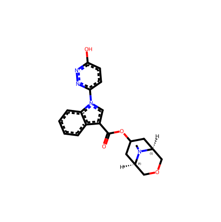 CN1[C@@H]2COC[C@H]1CC(OC(=O)c1cn(-c3ccc(O)nn3)c3ccccc13)C2